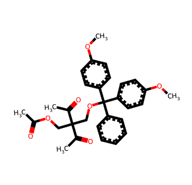 COc1ccc(C(OCC(COC(C)=O)(C(C)=O)C(C)=O)(c2ccccc2)c2ccc(OC)cc2)cc1